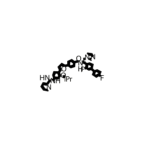 CC(C)Oc1cc(NC(=N)c2ccccn2)ccc1-c1ccc(-c2ccc(C(=O)N[C@@H](Cn3ccnc3)c3ccc(-c4ccc(F)cc4)cc3F)cc2)o1